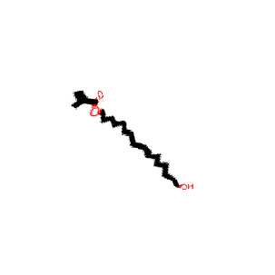 C=C(C)C(=O)OCCCCCCCCCCCCCCCCO